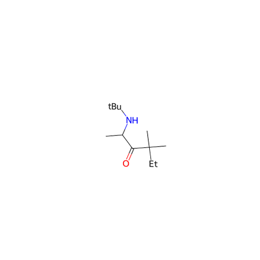 CCC(C)(C)C(=O)C(C)NC(C)(C)C